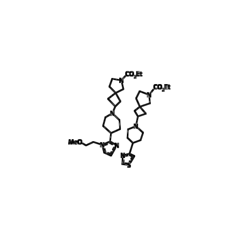 CCOC(=O)N1CCC2(CC(N3CCC(c4cscn4)CC3)C2)C1.CCOC(=O)N1CCC2(CC(N3CCC(c4nccn4CCOC)CC3)C2)C1